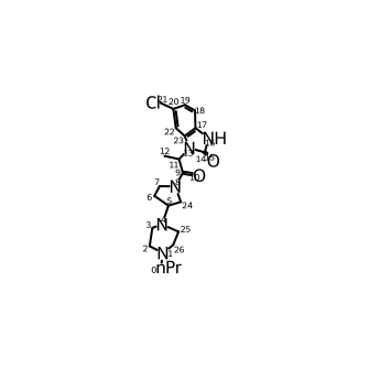 CCCN1CCN(C2CCN(C(=O)C(C)n3c(=O)[nH]c4ccc(Cl)cc43)C2)CC1